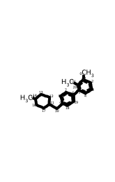 Cc1cccc(-c2ccc(CC3CCC(C)CC3)cc2)c1C